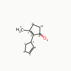 CC1=C(C2C=CCC2)C(=O)C[CH]1